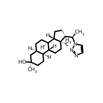 C[C@H]([C@H]1CC[C@H]2[C@@H]3CC[C@@H]4C[C@](C)(O)CC[C@@H]4[C@H]3CC[C@]12C)n1ccnn1